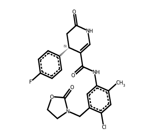 Cc1cc(Cl)c(CN2CCOC2=O)cc1NC(=O)C1=CNC(=O)C[C@H]1c1ccc(F)cc1